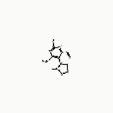 C=O.CNc1cc(Cl)ncc1C1CCCN1C